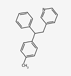 Cc1ccc(C(Cc2cccnc2)c2ccccc2)cc1